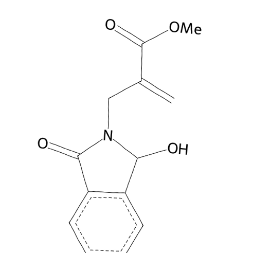 C=C(CN1C(=O)c2ccccc2C1O)C(=O)OC